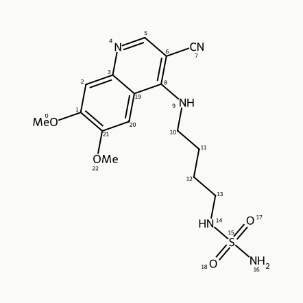 COc1cc2ncc(C#N)c(NCCCCNS(N)(=O)=O)c2cc1OC